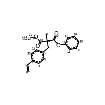 C=Cc1ccc(CC(C)(C(=O)Oc2ccccc2)C(=O)OC(C)(C)C)cc1